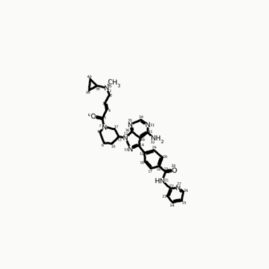 CN(CC=CC(=O)N1CCCC(n2nc(-c3ccc(C(=O)Nc4ccccn4)cc3)c3c(N)ncnc32)C1)C1CC1